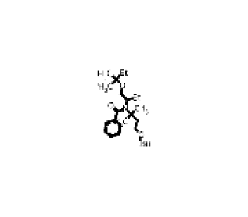 CCC(COC(C)(C)CC)N(C(=O)c1ccccc1)C(C)(C)CCOC(C)(C)C